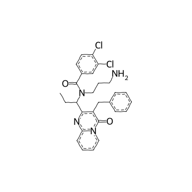 CCC(c1nc2ccccn2c(=O)c1Cc1ccccc1)N(CCCN)C(=O)c1ccc(Cl)c(Cl)c1